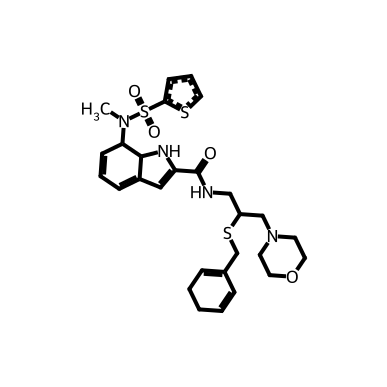 CN(C1C=CC=C2C=C(C(=O)NCC(CN3CCOCC3)SCC3=CCCC=C3)NC21)S(=O)(=O)c1cccs1